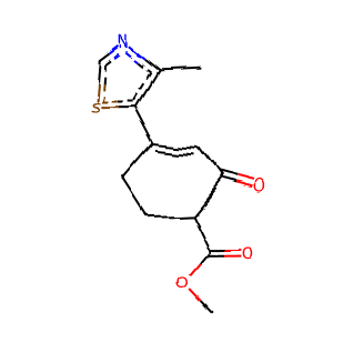 COC(=O)C1CCC(c2scnc2C)=CC1=O